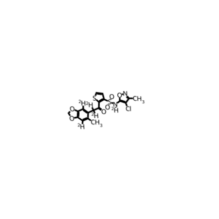 [2H]c1c(C)c(C([2H])([2H])C(=O)c2sccc2S(=O)(=O)N([2H])c2onc(C)c2Cl)c([2H])c2c1OCO2